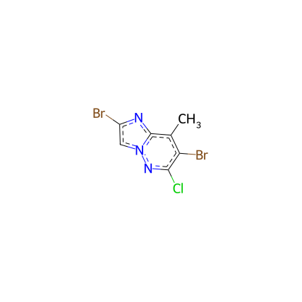 Cc1c(Br)c(Cl)nn2cc(Br)nc12